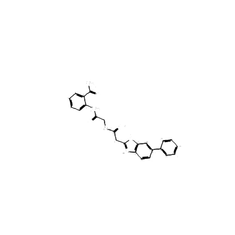 NC(=O)c1ccccc1NC(=O)CNC(=O)Cc1nc2ccc(-c3ccccc3)cc2s1